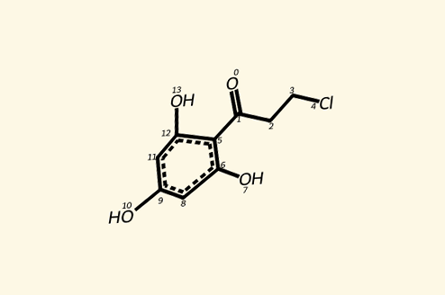 O=C(CCCl)c1c(O)cc(O)cc1O